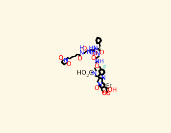 CC[C@@]1(O)C(=O)OCc2c1cc1n(c2=O)Cc2c-1nc1cc(F)c(C)cc1c2CN(CCOCNC(=O)CNC(=O)[C@H](Cc1ccccc1)NC(=O)CNC(=O)CNC(=O)CCCCCN1C(=O)C=CC1=O)C(=O)O